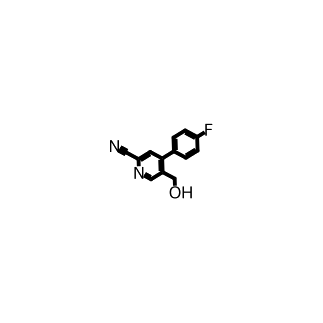 N#Cc1cc(-c2ccc(F)cc2)c(CO)cn1